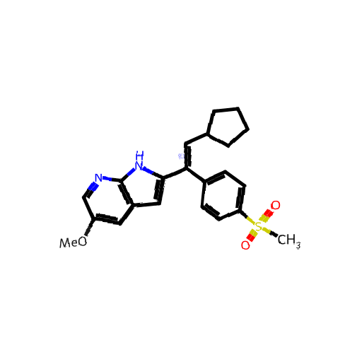 COc1cnc2[nH]c(/C(=C/C3CCCC3)c3ccc(S(C)(=O)=O)cc3)cc2c1